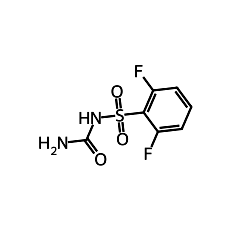 NC(=O)NS(=O)(=O)c1c(F)cccc1F